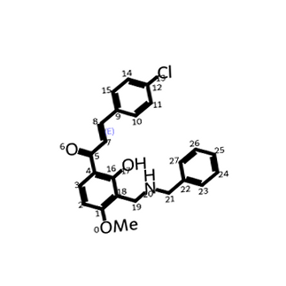 COc1ccc(C(=O)/C=C/c2ccc(Cl)cc2)c(O)c1CNCc1ccccc1